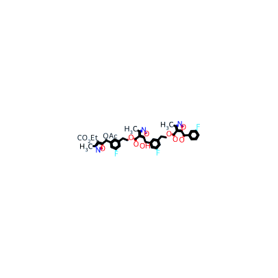 CCOC(=O)c1c(C)noc1C(OC(C)=O)c1cc(F)cc(CCOC(=O)c2c(C)noc2C(O)c2cc(F)cc(CCOC(=O)c3c(C)noc3C(=O)c3cccc(F)c3)c2)c1